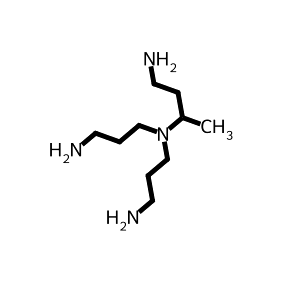 CC(CCN)N(CCCN)CCCN